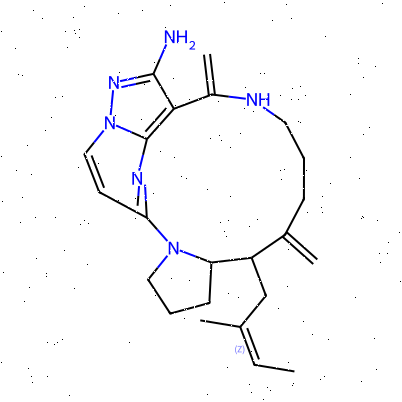 C=C1NCCCC(=C)C(C/C(C)=C\C)C2CCCN2c2ccn3nc(N)c1c3n2